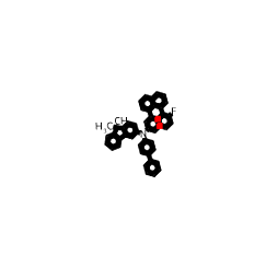 CC1(C)c2ccccc2-c2cc(N(c3ccc(-c4ccccc4)cc3)c3cccc(-c4cccc5cccc(-c6ccccc6F)c45)c3)ccc21